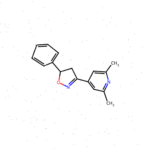 Cc1cc(C2=NOC(c3cc[c]cc3)C2)cc(C)n1